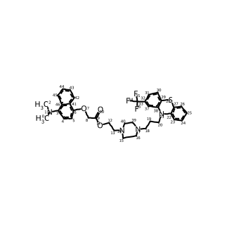 CN(C)c1ccc(OCC(=O)OCCN2CCN(CCCN3c4ccccc4Sc4ccc(C(F)(F)F)cc43)CC2)c2ccccc12